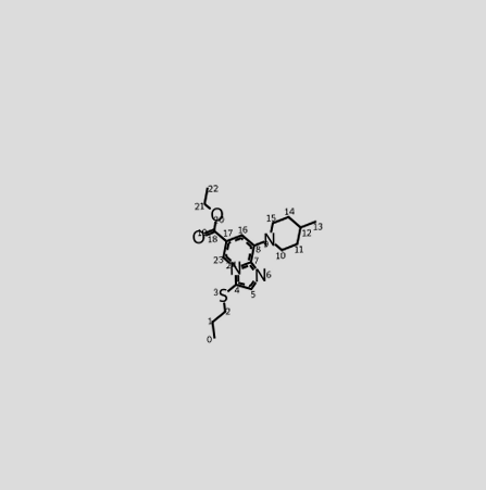 CCCSc1cnc2c(N3CCC(C)CC3)cc(C(=O)OCC)cn12